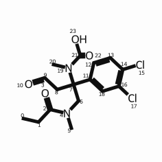 CCC(=O)N(C)CC(CC=O)(c1ccc(Cl)c(Cl)c1)N(C)C(=O)O